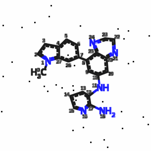 Cn1ccc2ccc(-c3cc(Nc4cccnc4N)cc4nccnc34)cc21